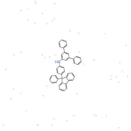 c1ccc(-c2cc(Nc3ccc(C4(c5ccccc5)c5ccccc5-c5ccccc54)cc3)cc(-c3ccccc3)c2)cc1